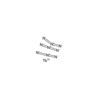 [N-]=[N+]=[N-].[N-]=[N+]=[N-].[N-]=[N+]=[N-].[Tb+3]